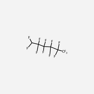 F[C](F)C(F)(F)C(F)(F)C(F)(F)C(F)(F)C(F)(F)F